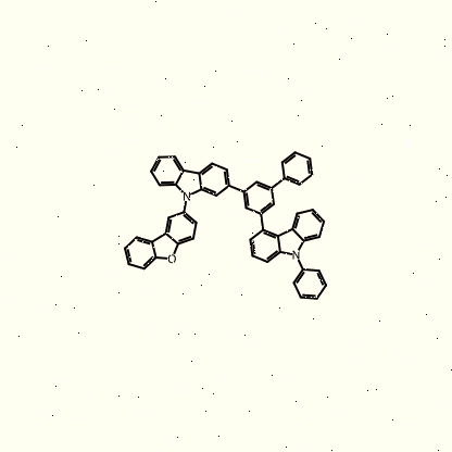 c1ccc(-c2cc(-c3ccc4c5ccccc5n(-c5ccc6oc7ccccc7c6c5)c4c3)cc(-c3cccc4c3c3ccccc3n4-c3ccccc3)c2)cc1